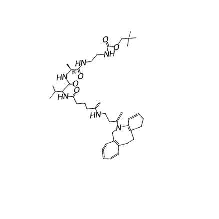 C=C(CCCC(=O)NC(C(=O)N[C@@H](C)C(=O)NCCNC(=O)OCC(C)(C)C)C(C)C)NCCC(=C)N1CC2=C(C=CC=C=C2)CCC2=C1C=CCC2